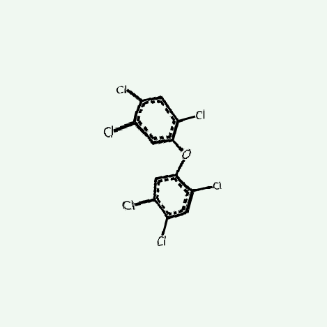 Clc1cc(Cl)c(Oc2cc(Cl)c(Cl)cc2Cl)cc1Cl